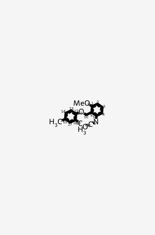 COc1cccc(N=C=O)c1COc1ccc(C)cc1C